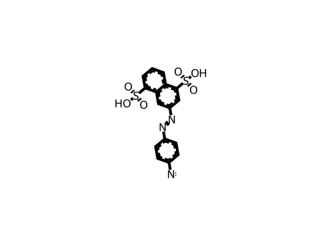 [N]c1ccc(N=Nc2cc(S(=O)(=O)O)c3cccc(S(=O)(=O)O)c3c2)cc1